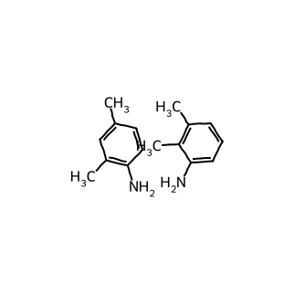 Cc1ccc(N)c(C)c1.Cc1cccc(N)c1C